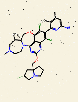 CCC[C@@H]1CN(C)CCN2c3nc(OC[C@@]45CCCN4C[C@H](F)C5)nc4c(F)c(-c5nc(N)cc(C)c5C(F)(F)F)c(Cl)c(c34)OC[C@H]12